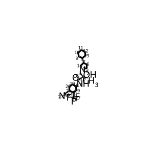 CC(O)(Cn1ccc(-c2ccccc2)c1)C(=O)Nc1ccc(C#N)c(C(F)(F)F)c1